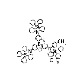 Cc1ccc2c(c1)[Si](c1ccccc1)(c1ccccc1)c1cc(C)ccc1N2c1cc2c3c(c1)Sc1cc(N4c5ccccc5[Si](c5ccccc5)(c5ccccc5)c5ccccc54)ccc1B3c1ccc(N3c4ccccc4[Si](c4ccccc4)(c4ccccc4)c4ccccc43)cc1O2